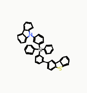 c1ccc([Si](c2ccccc2)(c2cccc(-c3ccc4sc5ccccc5c4c3)c2)c2cccc(-n3c4ccccc4c4ccccc43)c2)cc1